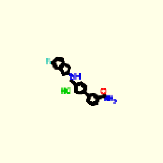 Cl.NC(=O)c1cccc(-c2ccc(CN[C@@H]3Cc4ccc(F)cc4C3)cc2)c1